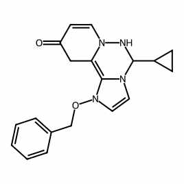 O=C1C=CN2NC(C3CC3)N3C=CN(OCc4ccccc4)C3=C2C1